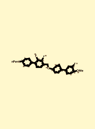 CCCCCc1ccc(-c2ccc(COc3ccc(-c4ccc(OC)c(F)c4)cc3)c(F)c2F)cc1